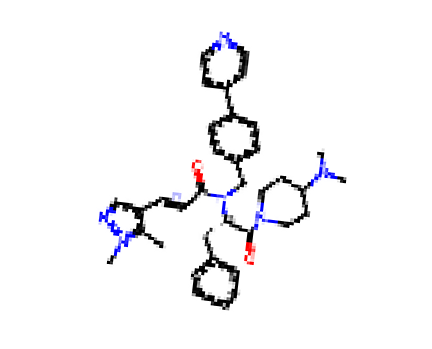 Cc1c(/C=C/C(=O)N(Cc2ccc(-c3ccncc3)cc2)[C@@H](Cc2ccccc2)C(=O)N2CCC(N(C)C)CC2)cnn1C